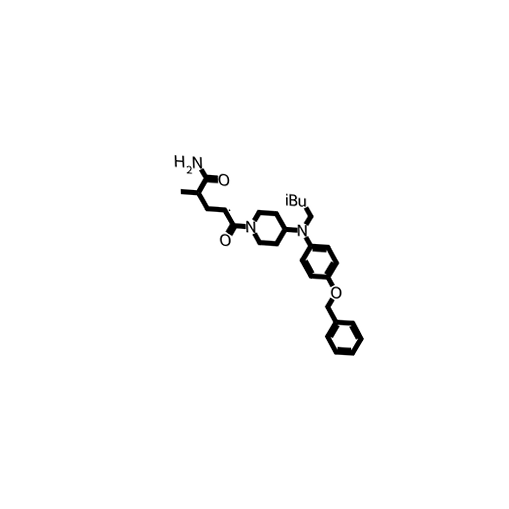 CCC(C)CN(c1ccc(OCc2ccccc2)cc1)C1CCN(C(=O)[CH]CC(C)C(N)=O)CC1